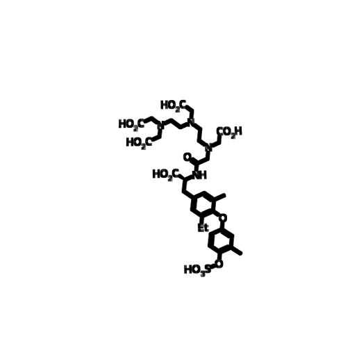 CCc1cc(C[C@H](NC(=O)CN(CCN(CCN(CC(=O)O)CC(=O)O)CC(=O)O)CC(=O)O)C(=O)O)cc(C)c1Oc1ccc(OS(=O)(=O)O)c(C)c1